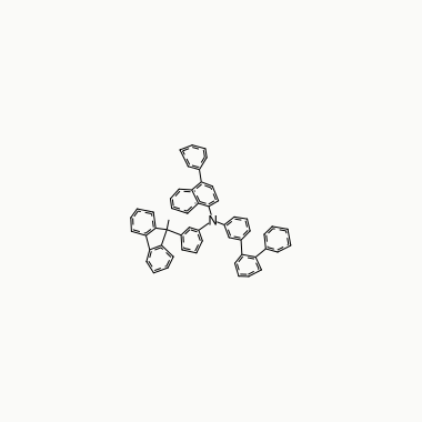 CC1(c2cccc(N(c3cccc(-c4ccccc4-c4ccccc4)c3)c3ccc(-c4ccccc4)c4ccccc34)c2)c2ccccc2-c2ccccc21